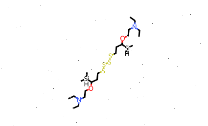 CCN(CC)CCOC(CCSSSSCCC(OCCN(CC)CC)[SiH](C)C)[SiH](C)C